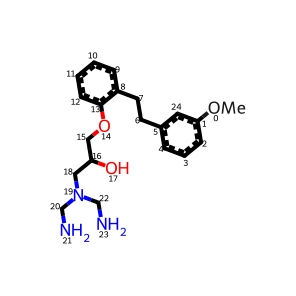 COc1cccc(CCc2ccccc2OCC(O)CN(CN)CN)c1